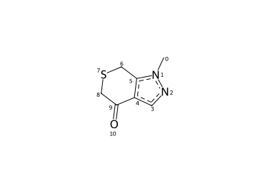 Cn1ncc2c1CSCC2=O